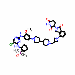 COc1cc(N2CCC(C3CCN(CC4CN(c5cccc6c5CN(C5CCC(=O)NC5=O)C6=O)C4)CC3)CC2)ccc1Nc1ncc(Cl)c(Nc2ccccc2P(C)(C)=O)n1